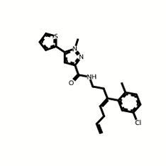 C=CC/C=C(/CCNC(=O)c1cc(-c2cccs2)n(C)n1)c1cc(Cl)ccc1C